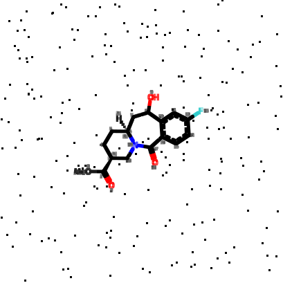 COC(=O)[C@H]1CC[C@H]2CC(O)c3cc(F)ccc3C(=O)N2C1